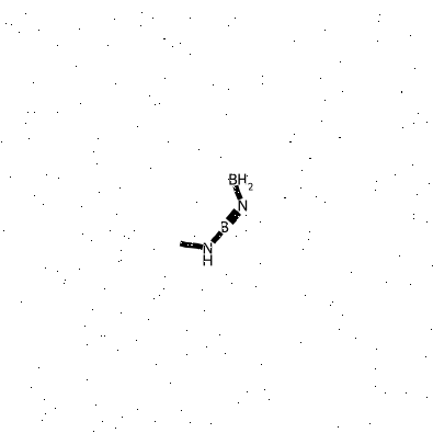 BN=BNC